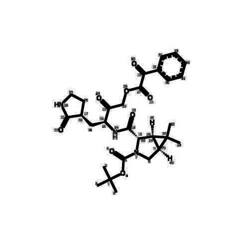 CC(C)(C)OC(=O)N1C[C@H]2[C@@H]([C@H]1C(=O)N[C@@H](C[C@@H]1CCNC1=O)C(=O)COC(=O)C(=O)c1ccccc1)C2(C)C